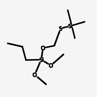 CCC[Si](OC)(OC)OCS[Si](C)(C)C